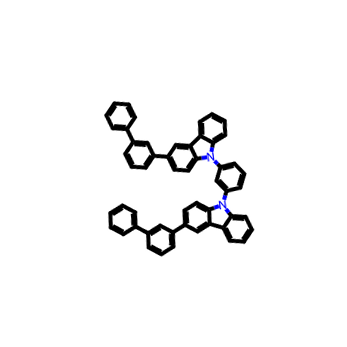 c1ccc(-c2cccc(-c3ccc4c(c3)c3ccccc3n4-c3cccc(-n4c5ccccc5c5cc(-c6cccc(-c7ccccc7)c6)ccc54)c3)c2)cc1